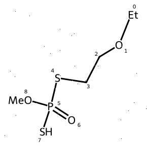 CCOCCSP(=O)(S)OC